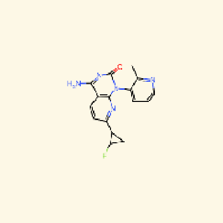 Cc1ncccc1-n1c(=O)nc(N)c2ccc(C3CC3F)nc21